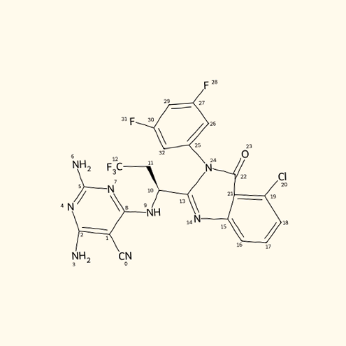 N#Cc1c(N)nc(N)nc1N[C@@H](CC(F)(F)F)c1nc2cccc(Cl)c2c(=O)n1-c1cc(F)cc(F)c1